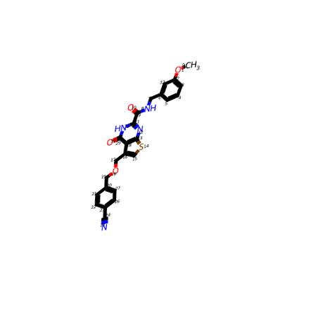 COc1cccc(CNC(=O)c2nc3scc(COCc4ccc(C#N)cc4)c3c(=O)[nH]2)c1